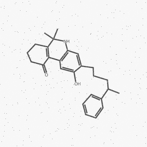 CC(CCCc1cc2c(cc1O)C1=C(CCCC1=O)C(C)(C)N2)c1ccccc1